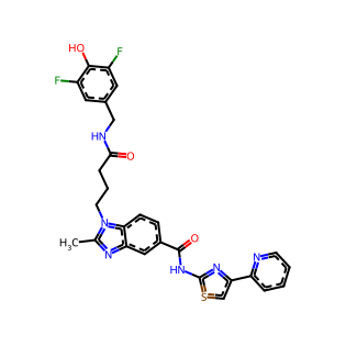 Cc1nc2cc(C(=O)Nc3nc(-c4ccccn4)cs3)ccc2n1CCCC(=O)NCc1cc(F)c(O)c(F)c1